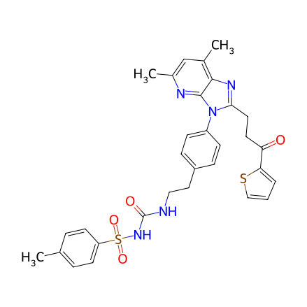 Cc1ccc(S(=O)(=O)NC(=O)NCCc2ccc(-n3c(CCC(=O)c4cccs4)nc4c(C)cc(C)nc43)cc2)cc1